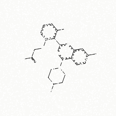 Cc1ccc2c(N3CCC(C)CC3)nc(-c3c(F)cccc3OCC(=O)O)nc2c1